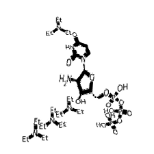 CCN(CC)CC.CCN(CC)CC.CCN(CC)CC.CCN(CC)CC.N[C@@H]1[C@H](O)[C@@H](COP(=O)(O)OP(=O)(O)OP(=O)(O)O)O[C@H]1n1ccc(=O)[nH]c1=O